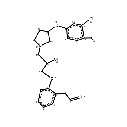 O=CCc1ccccc1OCC(O)CN1CCC(Oc2ccc(Cl)c(Cl)c2)C1